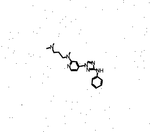 CN(C)CCCN(C)c1cc(-n2cnc(Nc3ccccc3)n2)ccn1